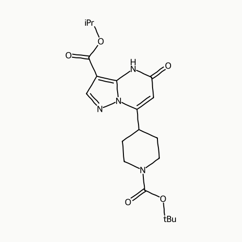 CC(C)OC(=O)c1cnn2c(C3CCN(C(=O)OC(C)(C)C)CC3)cc(=O)[nH]c12